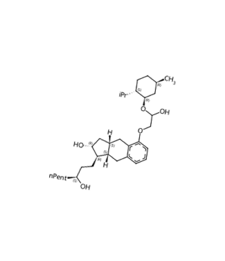 CCCCC[C@H](O)CC[C@@H]1[C@H]2Cc3cccc(OCC(O)O[C@@H]4C[C@H](C)CC[C@H]4C(C)C)c3C[C@H]2C[C@H]1O